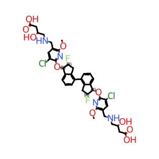 COc1nc(O[C@@H]2c3cccc(-c4cccc5c4C[C@@H](F)[C@@H]5Oc4nc(OC)c(CNCC(O)CC(=O)O)cc4Cl)c3C[C@H]2F)c(Cl)cc1CNCC(O)CC(=O)O